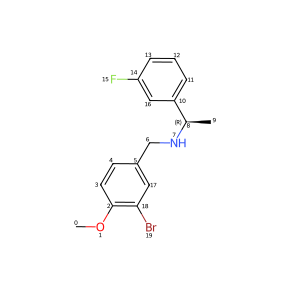 COc1ccc(CN[C@H](C)c2cccc(F)c2)cc1Br